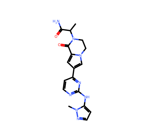 CC(C(N)=O)N1CCn2cc(-c3ccnc(Nc4ccnn4C)n3)cc2C1=O